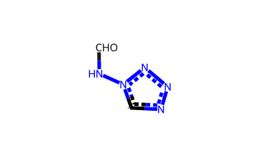 O=CNn1[c]nnn1